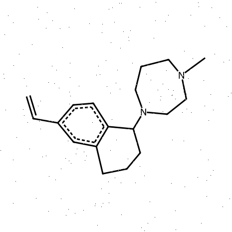 C=Cc1ccc2c(c1)CCCC2N1CCCN(C)CC1